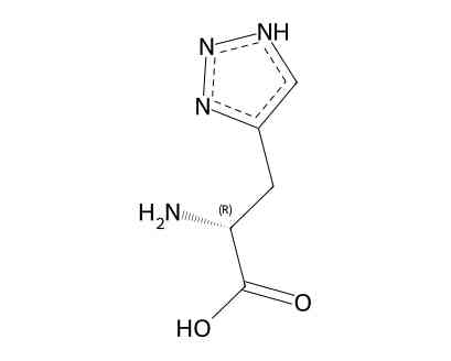 N[C@H](Cc1c[nH]nn1)C(=O)O